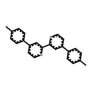 Cc1ccc(-c2ccnc(-c3cc(-c4ccc(C)cc4)ccn3)c2)cc1